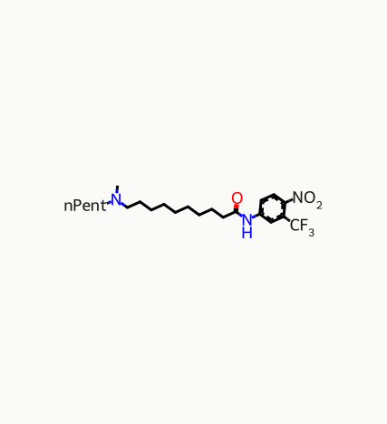 CCCCCN(C)CCCCCCCCCC(=O)Nc1ccc([N+](=O)[O-])c(C(F)(F)F)c1